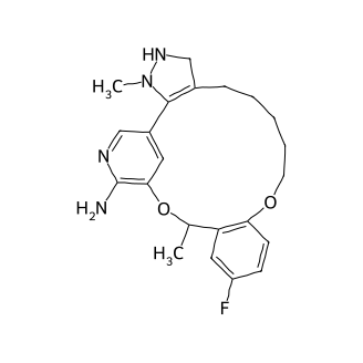 CC1Oc2cc(cnc2N)C2=C(CCCCCOc3ccc(F)cc31)CNN2C